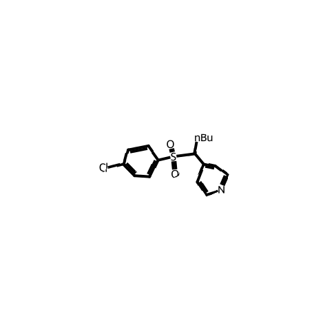 CCCCC(c1ccncc1)S(=O)(=O)c1ccc(Cl)cc1